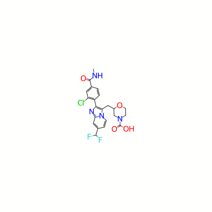 CNC(=O)c1ccc(-c2nc3cc(C(F)F)ccn3c2CC2CN(C(=O)O)CCO2)c(Cl)c1